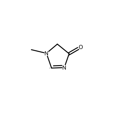 CN1[C]=NC(=O)C1